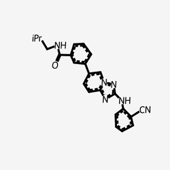 CC(C)CNC(=O)c1cccc(-c2ccc3nc(Nc4ccccc4C#N)nn3c2)c1